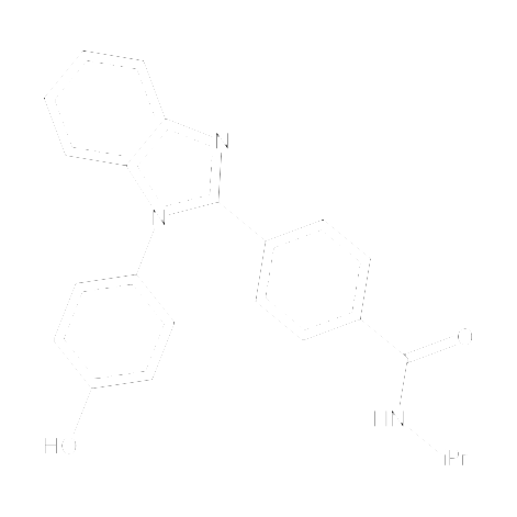 CC(C)NC(=O)c1ccc(-c2nc3ccccc3n2-c2ccc(O)cc2)cc1